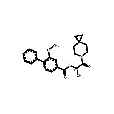 COc1cc(C(=O)N[C@H](C)C(=O)N2CCC3(CC2)CC3)cnc1-c1ccccc1